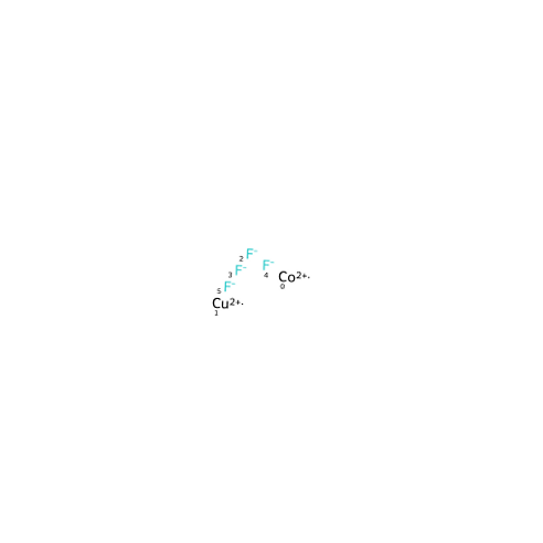 [Co+2].[Cu+2].[F-].[F-].[F-].[F-]